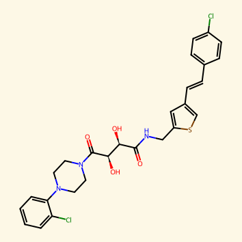 O=C(NCc1cc(/C=C/c2ccc(Cl)cc2)cs1)[C@H](O)[C@@H](O)C(=O)N1CCN(c2ccccc2Cl)CC1